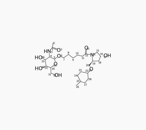 CC(=O)NC1C(OCCCCCC(=O)N2C[C@H](O)C[C@H]2COC2CCC(C)CC2)OC(CO)C(O)C1O